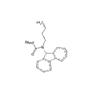 C=CCCN(C(=O)OC)C1c2ccccc2-c2ccccc21